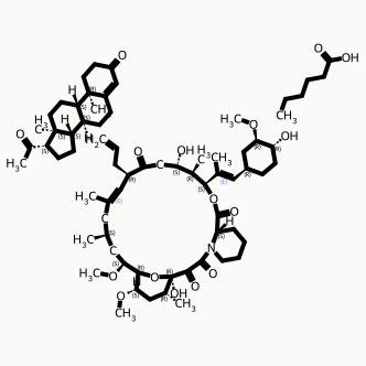 C=CC[C@@H]1/C=C(\C)C[C@H](C)C[C@H](OC)[C@H]2O[C@@](O)(C(=O)C(=O)N3CCCC[C@H]3C(=O)O[C@H](/C(C)=C/[C@@H]3CC[C@@H](O)[C@H](OC)C3)[C@H](C)[C@@H](O)CC1=O)[C@H](C)C[C@@H]2OC.CC(=O)[C@H]1CC[C@H]2[C@@H]3CCC4=CC(=O)CC[C@]4(C)[C@H]3CC[C@]12C.CCCCCC(=O)O